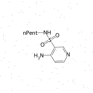 CCCCCNS(=O)(=O)c1cnccc1N